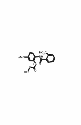 CNc1ccc(NC(=O)c2ccccc2C(=O)O)c(NC(=O)OC(C)(C)C)c1